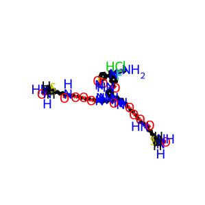 Cc1c(-c2cccc(S(=O)(=O)N(C)C)c2)c2cc(C(=O)Nc3ccc4c(c3)n(Cc3cn(CCOCCOCCOCCNC(=O)CCCC[C@@H]5SC[C@@H]6NC(=O)N[C@@H]65)nn3)c(=O)n4Cc3cn(CCOCCOCCOCCNC(=O)CCCC[C@@H]4SC[C@@H]5NC(=O)N[C@@H]54)nn3)ccc2n1C/C(F)=C/CN.Cl